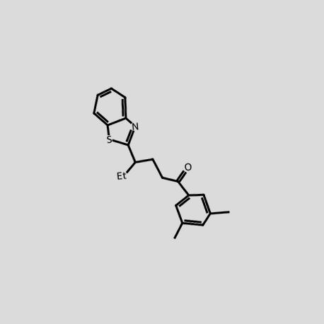 CCC(CCC(=O)c1cc(C)cc(C)c1)c1nc2ccccc2s1